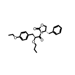 CCCO[C@@H](Cc1ccc(OCC)cc1)C(=O)N1C(=O)OC[C@@H]1Cc1ccccc1